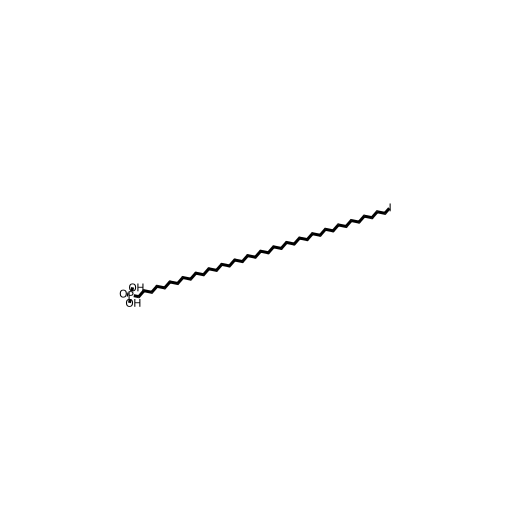 O=P(O)(O)CCCCCCCCCCCCCCCCCCCCCCCCCCCCCCCCCCCCCCCI